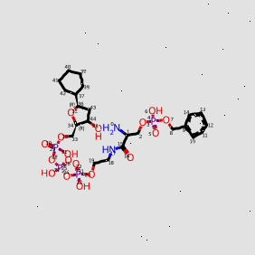 NC(COP(=O)(O)OCc1ccccc1)C(=O)NCCOP(=O)(O)OP(=O)(O)OP(=O)(O)OC[C@H]1O[C@@H](C2CCCCC2)CC1O